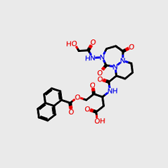 O=C(O)CC(NC(=O)C1CCCN2C(=O)CCN(NC(=O)CO)C(=O)N12)C(=O)COC(=O)c1cccc2ccccc12